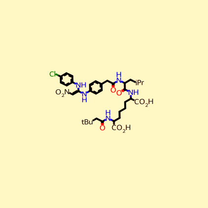 CC(C)CC(NC(=O)Cc1ccc(NC(=C[N+](=O)[O-])Nc2ccc(Cl)cc2)cc1)C(=O)NC(CCCCC(NC(=O)CC(C)(C)C)C(=O)O)C(=O)O